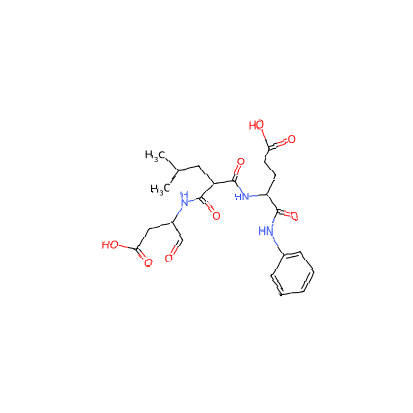 CC(C)CC(C(=O)NC(C=O)CC(=O)O)C(=O)NC(CCC(=O)O)C(=O)Nc1ccccc1